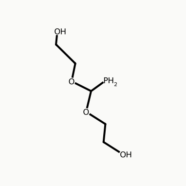 OCCOC(P)OCCO